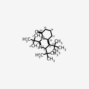 CC(C)(C)C1=NC(C(C)(C)C)C(C(C)(C)C)=C2CCCC(=O)N12